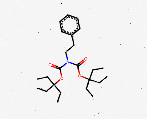 CCC(CC)(CC)OC(=O)N(CCc1ccccc1)C(=O)OC(CC)(CC)CC